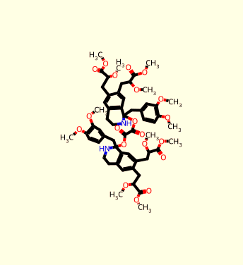 COC(=O)C(Cc1cc2c(cc1CC(OC)C(=O)OC)C(Cc1ccc(OC)c(OC)c1)(OC(=O)C(=O)OC1(Cc3ccc(OC)c(OC)c3)NCCc3cc(CC(OC)C(=O)OC)c(CC(OC)C(=O)OC)cc31)NCC2)OC